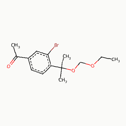 CCOCOC(C)(C)c1ccc(C(C)=O)cc1Br